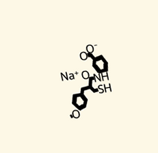 COc1ccc(CC(CS)C(=O)Nc2cccc(C(=O)[O-])c2)cc1.[Na+]